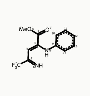 COC(=O)/C(=C/C(=N)C(F)(F)F)Nc1ccccc1